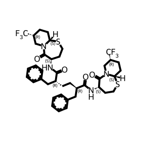 O=C(N[C@H]1CCS[C@H]2CC[C@@H](C(F)(F)F)CN2C1=O)[C@H](CC[C@H](Cc1ccccc1)C(=O)N[C@H]1CCS[C@H]2CC[C@@H](C(F)(F)F)CN2C1=O)Cc1ccccc1